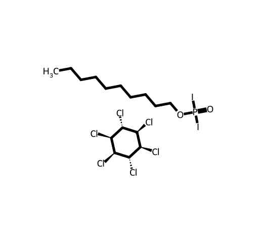 CCCCCCCCCCOP(=O)(I)I.Cl[C@H]1[C@H](Cl)[C@@H](Cl)[C@@H](Cl)[C@H](Cl)[C@H]1Cl